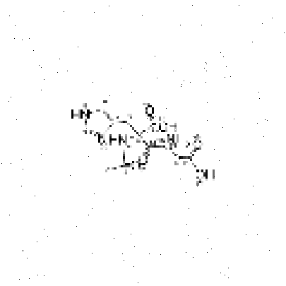 CC(=O)NC(Cc1c[nH]cn1)(C(=O)O)C(=O)C(N)CC(=O)O